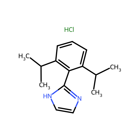 CC(C)c1cccc(C(C)C)c1-c1ncc[nH]1.Cl